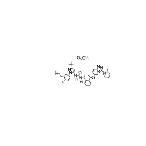 CC1CCCCN1c1nnc2ccc(O[C@@H]3CC[C@H](NC(=O)Nc4cc(C(C)(C)C)nn4-c4ccc(F)c(CCN(C)C)c4)c4ccccc43)cn12.O=CO